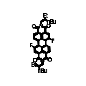 CCCCC(CC)CN1C(=O)c2ccc3c4c(F)cc5c6c(ccc(c7c(F)cc(c2c37)C1=O)c64)C(=O)N(CC(CC)CCCC)C5=O